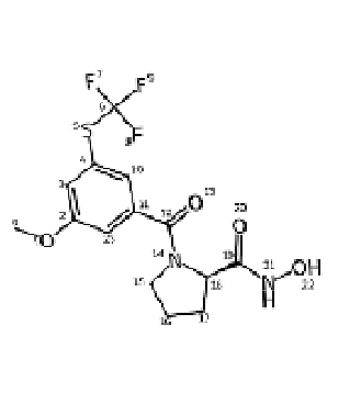 COc1cc(SC(F)(F)F)cc(C(=O)N2CCC[C@@H]2C(=O)NO)c1